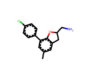 Cc1cc2c(c(-c3ccc(Cl)cc3)c1)OC(CN)C2